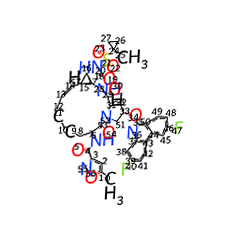 Cc1cc(C(=O)N[C@H]2CCCCC/C=C\[C@@H]3C[C@@]3(C(=O)NS(=O)(=O)C3(C)CC3)NC(=O)[C@@H]3C[C@@H](Oc4nc5cc(F)ccc5c5cc(F)ccc45)CN3C2=O)no1